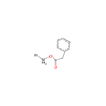 CC(C)[SiH2]OC(=O)Cc1ccccc1